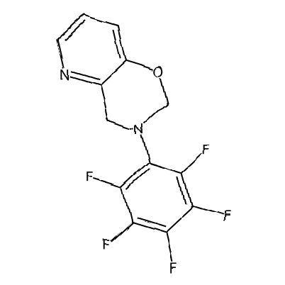 Fc1c(F)c(F)c(N2COc3cccnc3C2)c(F)c1F